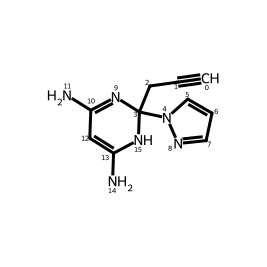 C#CCC1(n2cccn2)N=C(N)C=C(N)N1